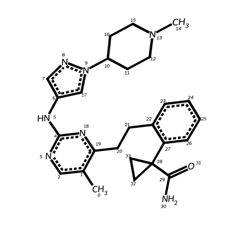 Cc1cnc(Nc2cnn(C3CCN(C)CC3)c2)nc1CCc1ccccc1C1(C(N)=O)CC1